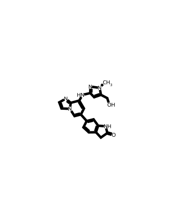 Cn1nc(Nc2cc(-c3ccc4c(c3)NC(=O)C4)cn3ccnc23)cc1CO